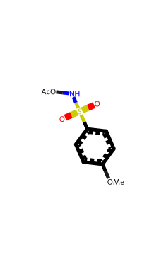 COc1ccc(S(=O)(=O)NOC(C)=O)cc1